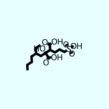 CCCCC(CC)CC(O)(C(=O)O)C(CCCS(=O)(=O)O)C(=O)O